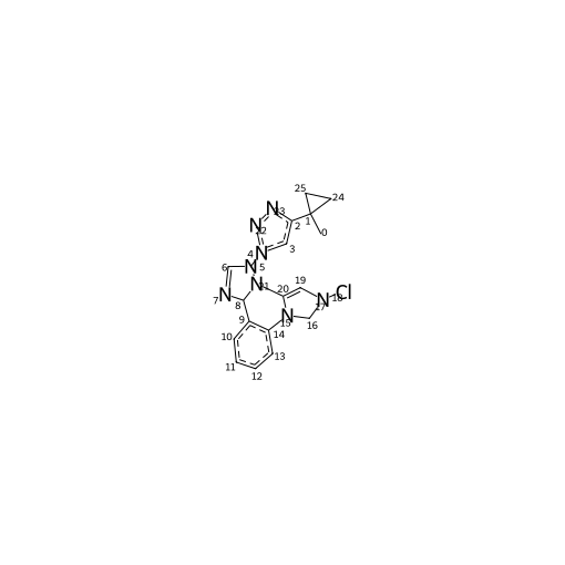 CC1(c2cn(N3C=NC4c5ccccc5N5CN(Cl)C=C5N43)nn2)CC1